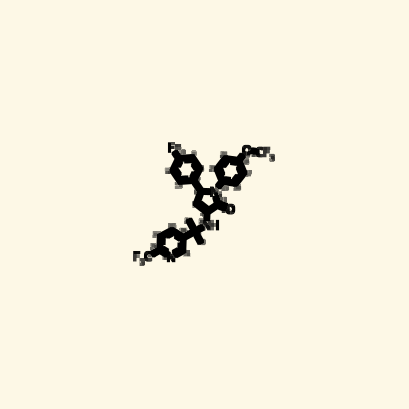 CC(C)(NC1=CC(c2ccc(F)cc2)N(c2ccc(OC(F)(F)F)cc2)C1=O)c1ccc(C(F)(F)F)nc1